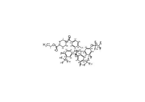 CCOC(=O)C1CCN(C(=O)c2ccc(C[C@](NC(=O)c3ccc(F)c(C(F)(F)F)c3)(c3cc(F)cc(OC(F)(F)C(F)F)c3)c3ccc(F)c(C(F)(F)F)c3)cc2)CC1